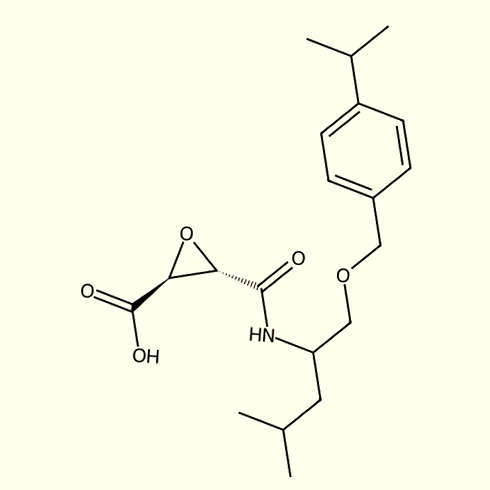 CC(C)CC(COCc1ccc(C(C)C)cc1)NC(=O)[C@H]1O[C@@H]1C(=O)O